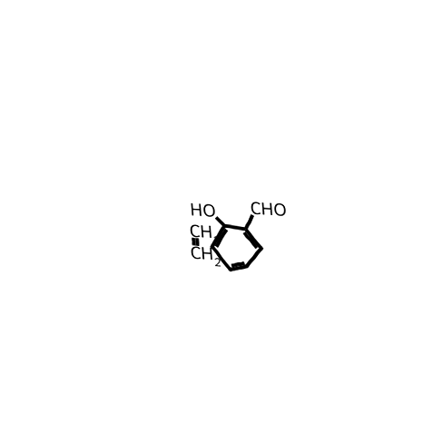 C=C.O=Cc1ccccc1O